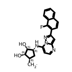 [CH2][C@@H]1C[C@@H](Nc2ccnc3cc(-c4ccc5ccccc5c4F)nn23)[C@H](O)[C@@H]1O